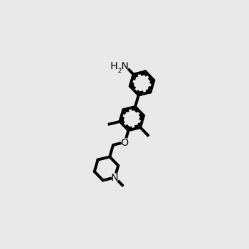 Cc1cc(-c2cccc(N)c2)cc(C)c1OCC1CCCN(C)C1